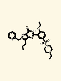 CCCc1c2nc(-c3cc(S(=O)(=O)N4CCN(CC)CC4)ccc3OCC)[nH]c(=O)c2nn1Cc1ccccn1